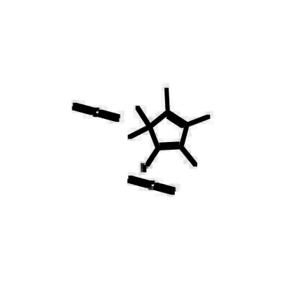 C=C=C.C=C=C.CC1=C(C)C(C)(C)[C]([Ir])=C1C